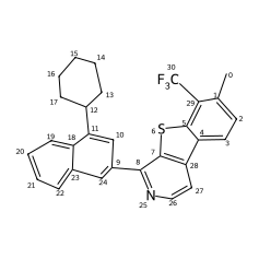 Cc1ccc2c(sc3c(-c4cc(C5CCCCC5)c5ccccc5c4)nccc32)c1C(F)(F)F